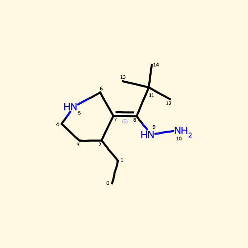 CCC1CCNC/C1=C(/NN)C(C)(C)C